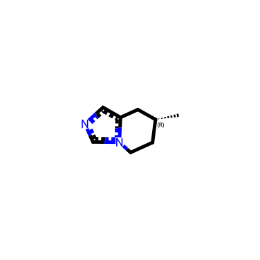 C[C@@H]1CCn2cncc2C1